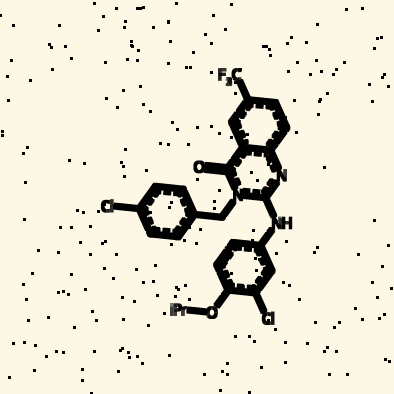 CC(C)Oc1ccc(Nc2nc3ccc(C(F)(F)F)cc3c(=O)n2Cc2ccc(Cl)cc2)cc1Cl